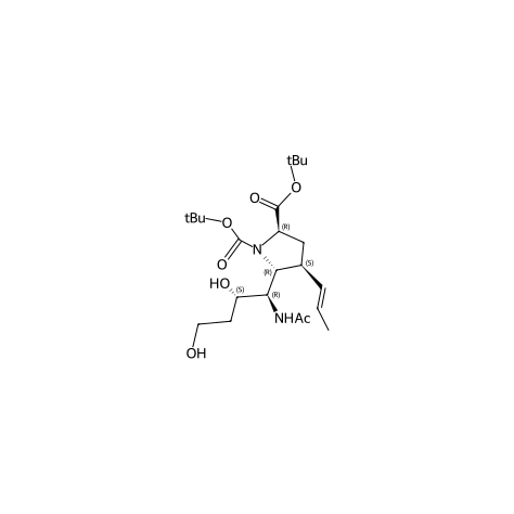 CC=C[C@@H]1C[C@H](C(=O)OC(C)(C)C)N(C(=O)OC(C)(C)C)[C@H]1[C@@H](NC(C)=O)[C@@H](O)CCO